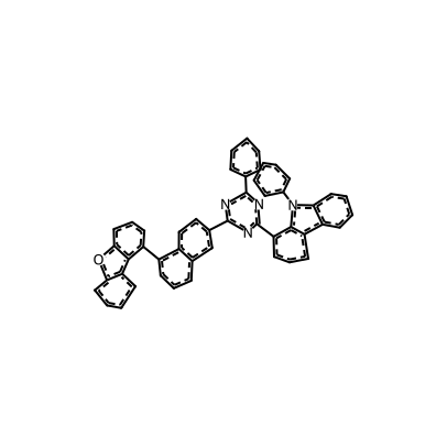 c1ccc(-c2nc(-c3ccc4c(-c5cccc6oc7ccccc7c56)cccc4c3)nc(-c3cccc4c5ccccc5n(-c5ccccc5)c34)n2)cc1